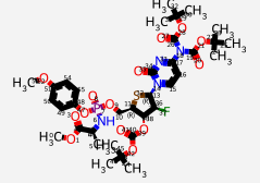 COC(=O)[C@H](C)NP(=O)(OC[C@H]1S[C@@H](n2ccc(N(C(=O)OC(C)(C)C)C(=O)OC(C)(C)C)nc2=O)[C@@H](F)[C@@H]1OC(=O)OC(C)(C)C)Oc1ccc(OC)cc1